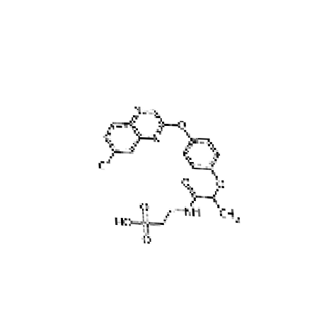 CC(Oc1ccc(Oc2cnc3ccc(Cl)cc3n2)cc1)C(=O)NCCS(=O)(=O)O